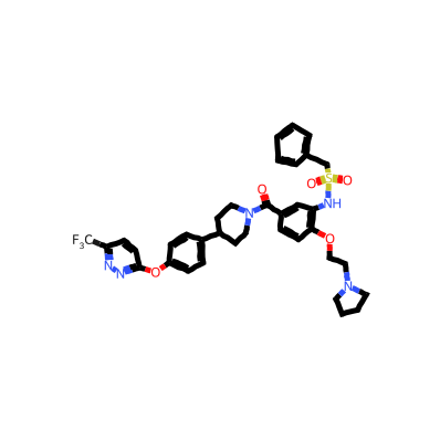 O=C(c1ccc(OCCN2CCCC2)c(NS(=O)(=O)Cc2ccccc2)c1)N1CCC(c2ccc(Oc3ccc(C(F)(F)F)nn3)cc2)CC1